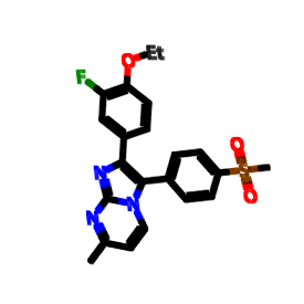 CCOc1ccc(-c2nc3nc(C)ccn3c2-c2ccc(S(C)(=O)=O)cc2)cc1F